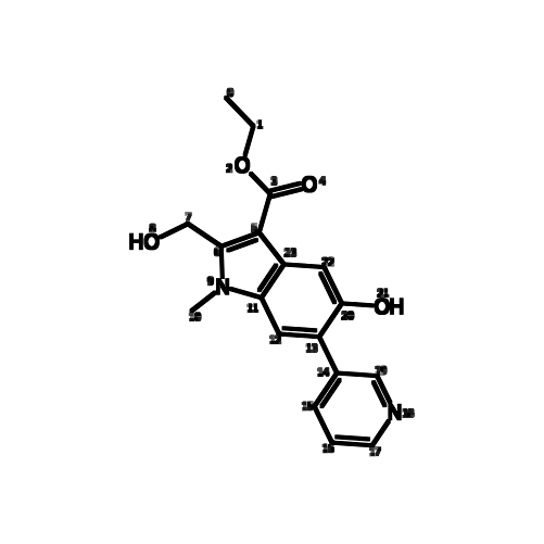 CCOC(=O)c1c(CO)n(C)c2cc(-c3cccnc3)c(O)cc12